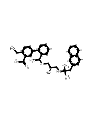 CC(OC[C@H](O)CNC(C)(C)Cc1ccc2ccccc2c1)c1ccccc1-c1ccc(CO)c(C(=O)O)c1